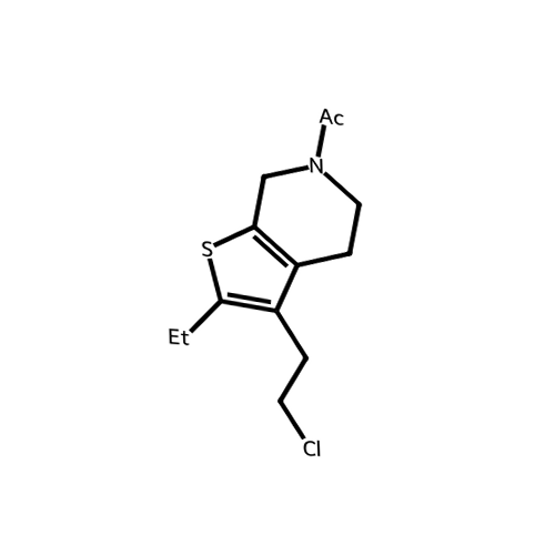 CCc1sc2c(c1CCCl)CCN(C(C)=O)C2